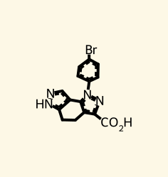 O=C(O)c1nn(-c2ccc(Br)cc2)c2c1CCc1[nH]ncc1-2